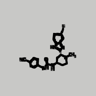 CN1CC[C@@H](NC(=O)Nc2ccc(C#N)cc2)C[C@@H]1c1nc2cc(F)ccc2[nH]1